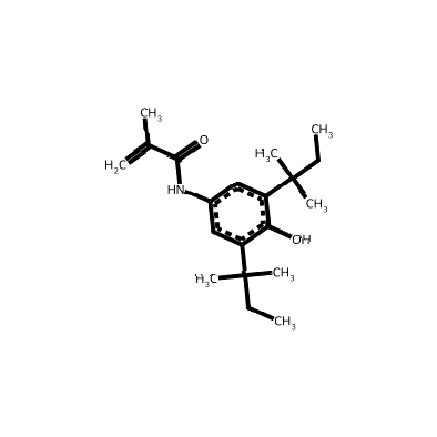 C=C(C)C(=O)Nc1cc(C(C)(C)CC)c(O)c(C(C)(C)CC)c1